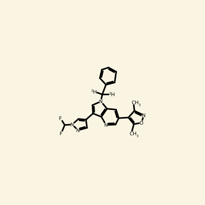 [2H]C([2H])(c1ccccc1)n1cc(-c2cnn(C(F)F)c2)c2ncc(-c3c(C)noc3C)cc21